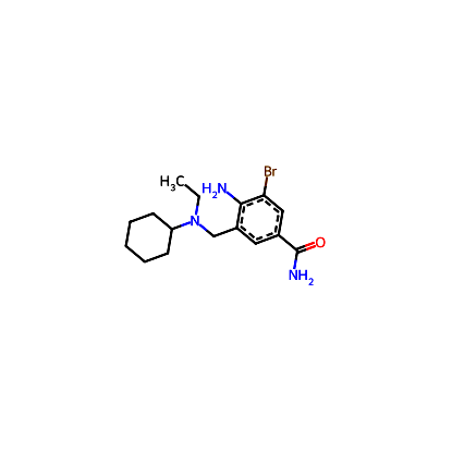 CCN(Cc1cc(C(N)=O)cc(Br)c1N)C1CCCCC1